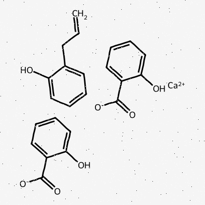 C=CCc1ccccc1O.O=C([O-])c1ccccc1O.O=C([O-])c1ccccc1O.[Ca+2]